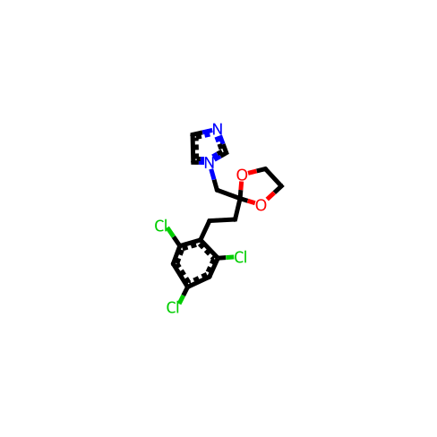 Clc1cc(Cl)c(CCC2(Cn3ccnc3)OCCO2)c(Cl)c1